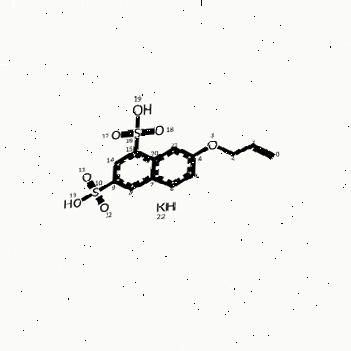 C=CCOc1ccc2cc(S(=O)(=O)O)cc(S(=O)(=O)O)c2c1.[KH]